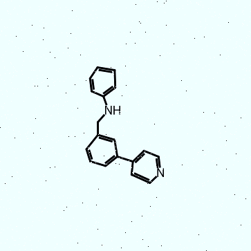 c1ccc(NCc2cccc(-c3ccncc3)c2)cc1